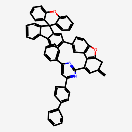 C=C1C=C(c2nc(-c3ccccc3)cc(-c3ccc(-c4ccccc4)cc3)n2)c2c(oc3ccc(-c4ccc5c(c4)C4(c6ccccc6Oc6ccccc64)c4ccccc4-5)cc23)C1